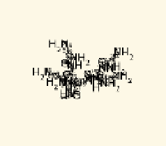 C#CCNC(=O)[C@H](CCCCNC(=O)[C@H](CCCNC(=O)[C@@H](N)CCCCN)NC(=O)[C@@](C)(N)CCCCN)NC(=O)[C@H](CCCCNC(=O)[C@@H](N)CCCCN)NC(=O)[C@@H](N)CCCCN